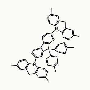 Cc1ccc(C2(c3ccc(C)cc3)c3cc(N4c5ccc(C)cc5Cc5cc(C)ccc54)ccc3-c3ccc(N4c5ccc(C)cc5Cc5cc(C)ccc54)cc32)cc1